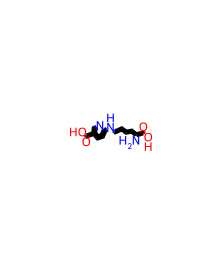 NC(CCCCNc1ccc(C(=O)O)cn1)C(=O)O